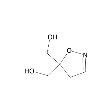 OCC1(CO)CC=NO1